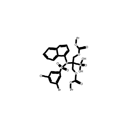 CC(C)OC(=O)OCC(COC(=O)OC(C)C)(N(c1cccc2ccccc12)S(=O)(=O)c1cc(Cl)cc(Br)c1)P(=O)(O)O